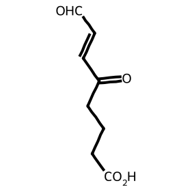 O=C/C=C/C(=O)CCCC(=O)O